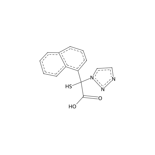 O=C(O)C(S)(c1cccc2ccccc12)n1ccnn1